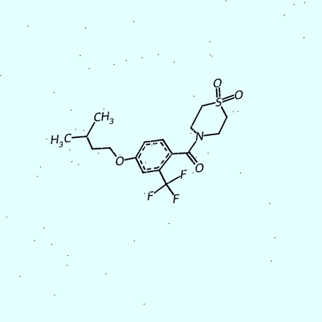 CC(C)CCOc1ccc(C(=O)N2CCS(=O)(=O)CC2)c(C(F)(F)F)c1